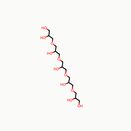 OCC(O)COCC(O)COCC(O)COCC(O)COCC(O)CO